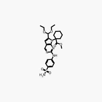 CCOC(OCC)c1cc2cnc(Nc3ccc(S(N)(=O)=O)cc3)nc2n1C1(C(=O)OC)CCCCC1